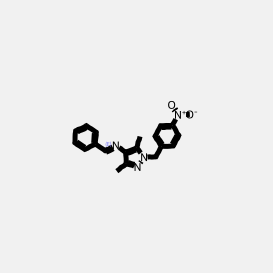 Cc1nn(Cc2ccc([N+](=O)[O-])cc2)c(C)c1/N=C/c1ccccc1